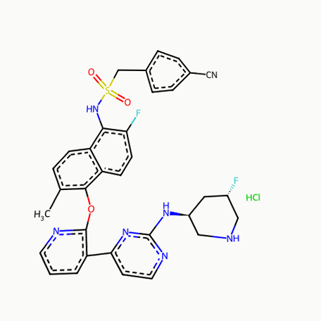 Cc1ccc2c(NS(=O)(=O)Cc3ccc(C#N)cc3)c(F)ccc2c1Oc1ncccc1-c1ccnc(N[C@@H]2CNC[C@@H](F)C2)n1.Cl